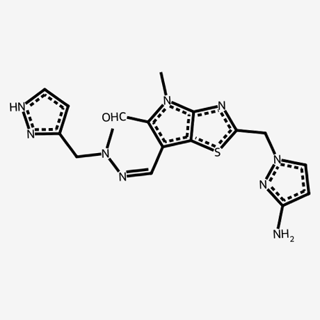 CN(Cc1cc[nH]n1)/N=C\c1c(C=O)n(C)c2nc(Cn3ccc(N)n3)sc12